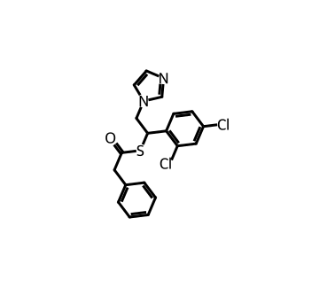 O=C(Cc1ccccc1)SC(Cn1ccnc1)c1ccc(Cl)cc1Cl